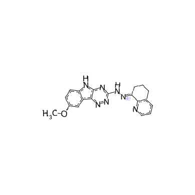 COc1ccc2[nH]c3nc(N/N=C4\CCCc5cccnc54)nnc3c2c1